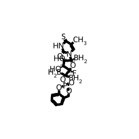 BC(B)(OP1(=O)OCc2ccccc2O1)[C@@]1(F)O[C@@](B)(n2cc(C)c(=S)[nH]c2=O)[C@H](O)[C@@H]1O